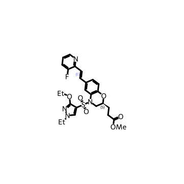 CCOc1nn(CC)cc1S(=O)(=O)N1C[C@H](CCC(=O)OC)Oc2ccc(/C=C/c3ncccc3F)cc21